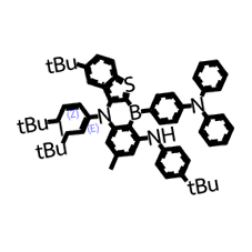 Cc1cc(Nc2ccc(C(C)(C)C)cc2)c2c(c1)N(C(/C=C\C(I)C(C)(C)C)=C/CC(C)(C)C)c1c(sc3ccc(C(C)(C)C)cc13)B2c1ccc(N(c2ccccc2)c2ccccc2)cc1